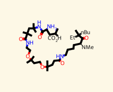 CCCCC(C)(CC)C(=O)[C@@H](CCCCNC(=O)CCC(C)(C)OCCC(C)(C)OCCNC(=O)C(C)(C)CC(C)(C)NC(=O)C(N)CC(C)C(=O)O)NC